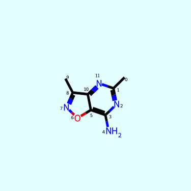 Cc1nc(N)c2onc(C)c2n1